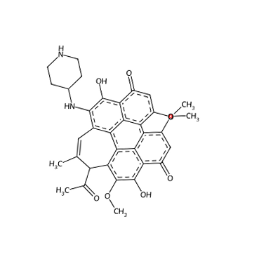 COc1c(O)c2c(=O)cc(OC)c3c4c(OC)cc(=O)c5c(O)c(NC6CCNCC6)c6c(c(c1C(C(C)=O)C(C)=C6)c23)c54